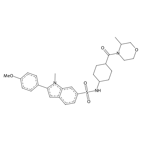 COc1ccc(-c2cc3ccc(S(=O)(=O)NC4CCC(C(=O)N5CCOCC5C)CC4)cc3n2C)cc1